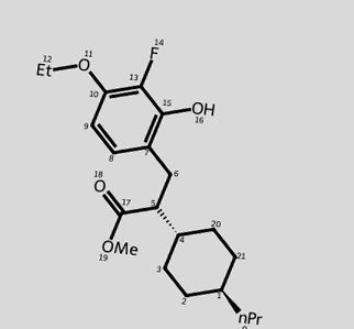 CCC[C@H]1CC[C@H](C(Cc2ccc(OCC)c(F)c2O)C(=O)OC)CC1